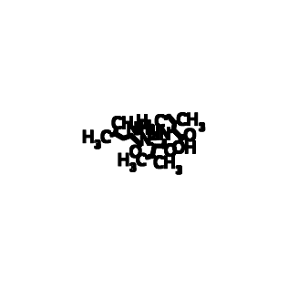 CC[C@H](C)[C@H](NC(=O)[C@@H](NC(=O)[C@@H](N)CC(C)C)C(C)C)C(=O)O